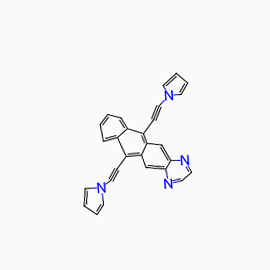 C(#Cn1cccc1)c1c2ccccc2c(C#Cn2cccc2)c2cc3nccnc3cc12